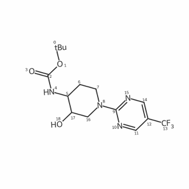 CC(C)(C)OC(=O)NC1CCN(c2ncc(C(F)(F)F)cn2)CC1O